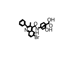 Cc1c(-c2ccccc2)nc2ccc(Br)cc2c1C(=O)NC12CCC(C(=O)O)(CC1)C(O)C2